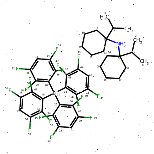 CC(C)C1([NH2+]C2(C(C)C)CCCCC2)CCCCC1.Fc1cc(F)c(F)c([B-](c2c(F)c(F)cc(F)c2F)(c2c(F)c(F)cc(F)c2F)c2c(F)c(F)cc(F)c2F)c1F